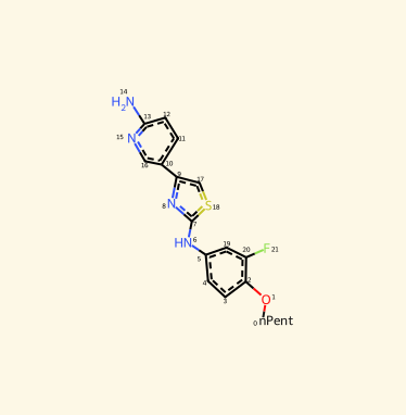 CCCCCOc1ccc(Nc2nc(-c3ccc(N)nc3)cs2)cc1F